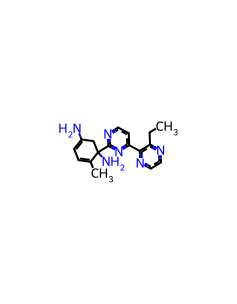 CCc1nccnc1-c1ccnc(C2(N)CC(N)=CC=C2C)n1